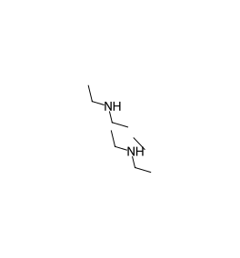 CC.CCNCC.CCNCC